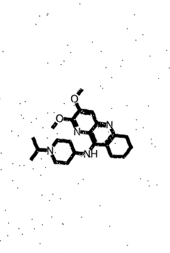 COc1cc2nc3c(c(NC4CCN(C(C)C)CC4)c2nc1OC)CCCC3